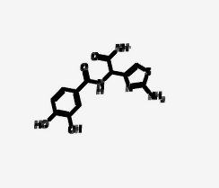 [NH]C(=O)C(NC(=O)c1ccc(O)c(O)c1)c1csc(N)n1